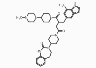 Cc1cc(CC(CC(=O)N2CCC(N3CCc4ccccc4NC3=O)CC2)C(=O)N2CCC(N3CCN(C)CC3)CC2)cc2cc[nH]c12